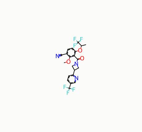 COc1c(C#N)ccc(OC(C)C(F)(F)F)c1C(=O)N1CC(c2ccc(C(F)(F)F)cn2)C1